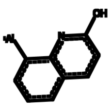 Oc1ccc2ccc[c]([Al])c2n1